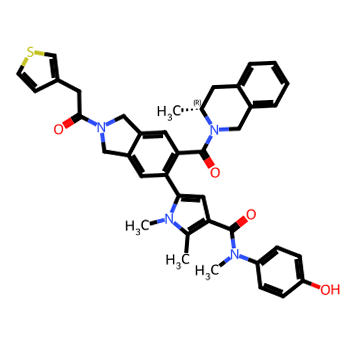 Cc1c(C(=O)N(C)c2ccc(O)cc2)cc(-c2cc3c(cc2C(=O)N2Cc4ccccc4C[C@H]2C)CN(C(=O)Cc2ccsc2)C3)n1C